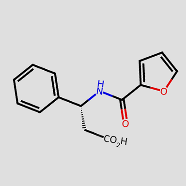 O=C(O)C[C@@H](NC(=O)c1ccco1)c1ccccc1